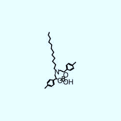 CCCCCCCCCCCCN1CC(c2ccc(C)cc2)OB(O)OC(c2ccc(C)cc2)C1